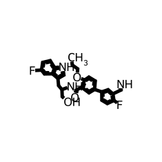 CCCOc1ccc(-c2ccc(F)c(C=N)c2)cc1C(=O)NC(CO)Cc1c[nH]c2ccc(F)cc12